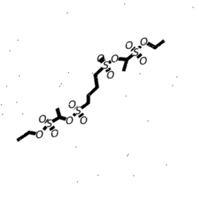 CCOS(=O)(=O)C(C)OS(=O)(=O)CCCCS(=O)(=O)OC(C)S(=O)(=O)OCC